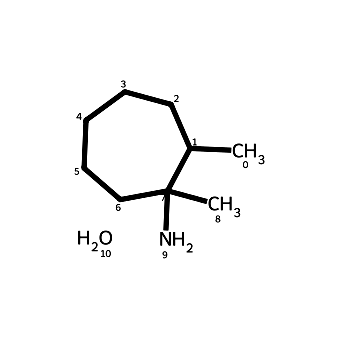 CC1CCCCCC1(C)N.O